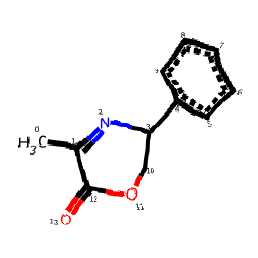 CC1=NC(c2ccccc2)COC1=O